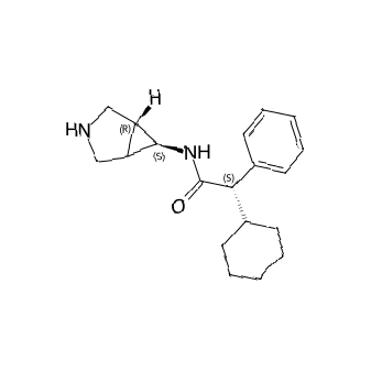 O=C(N[C@H]1C2CNC[C@@H]21)[C@H](c1ccccc1)C1CCCCC1